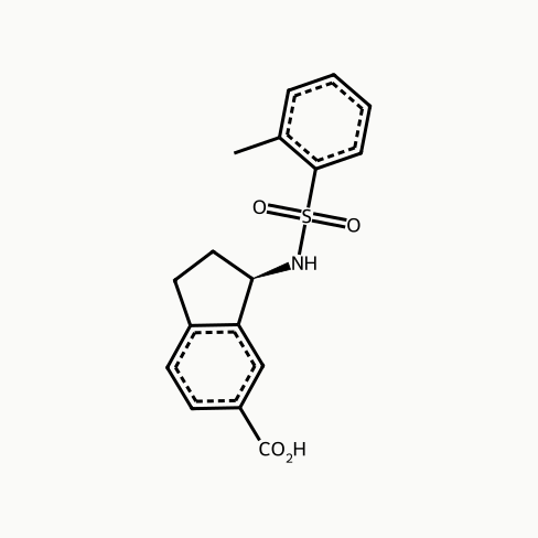 Cc1ccccc1S(=O)(=O)N[C@@H]1CCc2ccc(C(=O)O)cc21